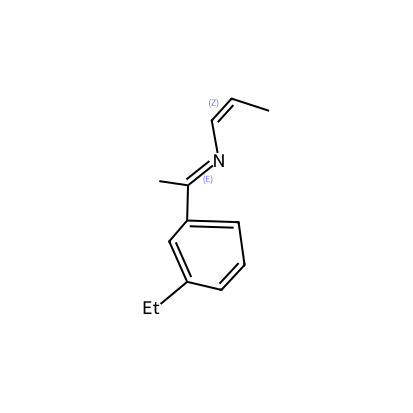 C/C=C\N=C(/C)c1cccc(CC)c1